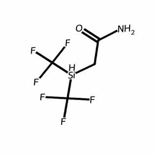 NC(=O)C[SiH](C(F)(F)F)C(F)(F)F